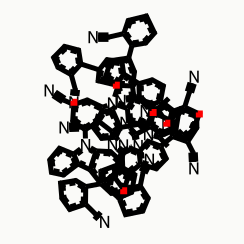 Cc1nc(C)nc(-c2c(-n3c4cc(-c5ccccc5C#N)ccc4c4ccc(-c5ccccc5C#N)cc43)cc(C#N)cc2-n2c3cc(-c4ccccc4C#N)ccc3c3ccc(-c4c(C#N)cccc4-c4ccc5c(c4)c4cc(-c6ccccc6C#N)ccc4n5-c4cc(C#N)cc(-n5c6ccccc6c6cc(-c7ccccc7C#N)ccc65)c4-c4nc(-c5ccccc5)nc(-c5ccccc5)n4)cc32)n1